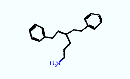 NCCCC(CCc1ccccc1)CCc1ccccc1